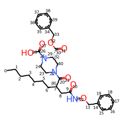 CCCCCCC[C@H](CC(=O)NOCc1ccccc1)C(=O)N1CCN(C(=O)O)[C@H](C(=O)OCc2ccccc2)C1